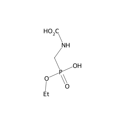 CCOP(=O)(O)CNC(=O)O